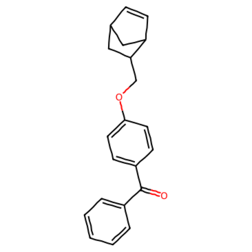 O=C(c1ccccc1)c1ccc(OCC2CC3C=CC2C3)cc1